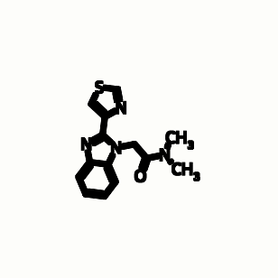 CN(C)C(=O)Cn1c(-c2cscn2)nc2ccccc21